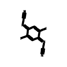 N#CN=C1C=C(I)C(=NC#N)C=C1I